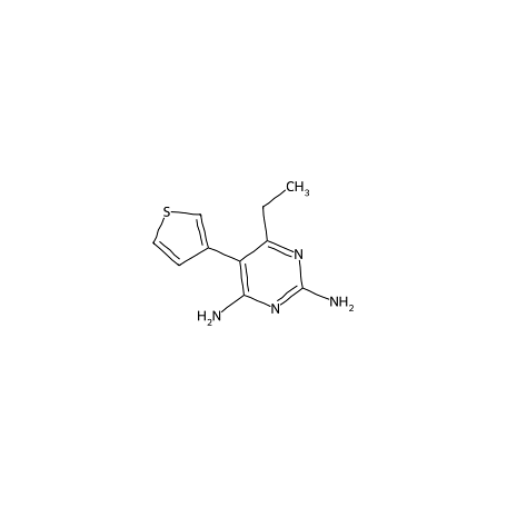 CCc1nc(N)nc(N)c1-c1ccsc1